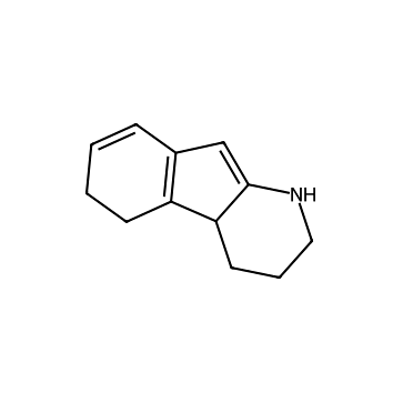 C1=CC2=C(CC1)C1CCCNC1=C2